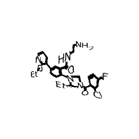 CCOc1ncccc1-c1ccc(N2CCN(C(=O)c3ccc(F)cc3Cl)C[C@H]2CC)c(C(=O)NCCN)c1